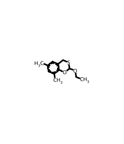 CCOC1Oc2c(C)cc(C)cc2CS1